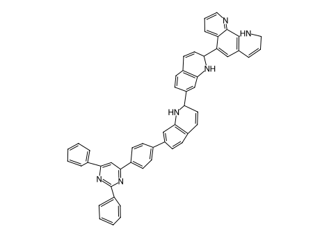 C1=Cc2cc(C3C=Cc4ccc(C5C=Cc6ccc(-c7ccc(-c8cc(-c9ccccc9)nc(-c9ccccc9)n8)cc7)cc6N5)cc4N3)c3cccnc3c2NC1